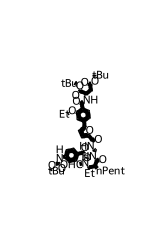 CCCCCC(C(=O)NCNC(=O)c1ccc(-c2ccc(C(=O)NC(CC(=O)OC(C)(C)C)C(=O)OC(C)(C)C)c(OCC)c2)o1)[C@@H](CC)N(C=O)OC(=O)c1ccc(NC(=O)OC(C)(C)C)cc1